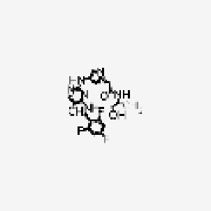 Cc1cnc(Nc2cnn(CC(=O)N[C@H](C)CO)c2)nc1NCc1c(F)cc(F)cc1F